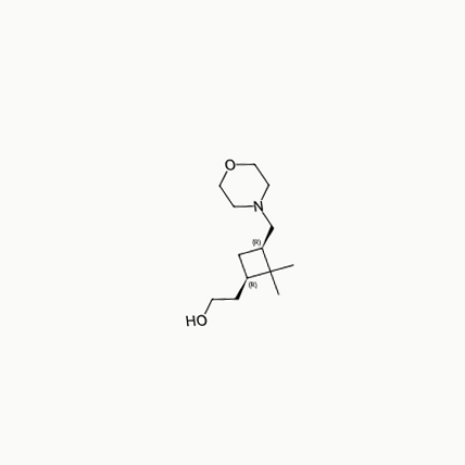 CC1(C)[C@@H](CCO)C[C@H]1CN1CCOCC1